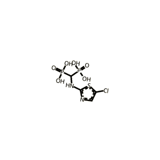 O=P(O)(O)C(Nc1ncc(Cl)s1)P(=O)(O)O